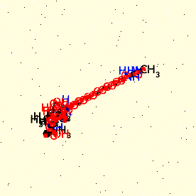 CCCNC(=O)[C@@H](N)CCCCNC(=O)CCOCCOCCOCCOCCOCCOCCOCCOCCOCCOCCOCCOC(=O)Nc1cc(C[N+]2(C)CCCC[C@@H]2C(=O)N[C@H](C(=O)N(C)[C@H](C[C@@H](OC(C)=O)c2nc(C(=O)N[C@@H](Cc3ccccc3)C[C@H](C)C(=O)O)cs2)C(C)C)[C@@H](C)CC)ccc1O[C@@H]1O[C@H](C(=O)O)[C@@H](O)[C@H](O)[C@H]1O